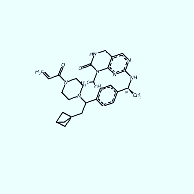 C=CC(=O)N1CCN(C(CC23CC(C2)C3)c2ccc([C@H](C)Nc3ncc4c(n3)N(C(C)C)C(=O)NC4)cc2)CC1